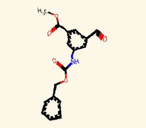 COC(=O)c1cc(C=O)cc(NC(=O)OCc2ccccc2)c1